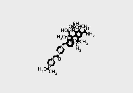 COc1c(C(N)=O)cc(C(C)(C)C)c(-c2c(C(=O)O)n(C)c3c(CN4CCN(C(=O)CN5CCN(C(C)C)CC5)CC4)cccc23)c1NS(C)(=O)=O